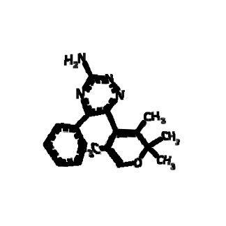 CC1=COC(C)(C)C(C)=C1c1nnc(N)nc1-c1ccccc1